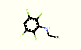 CCNc1c(F)c(F)cc(F)c1F